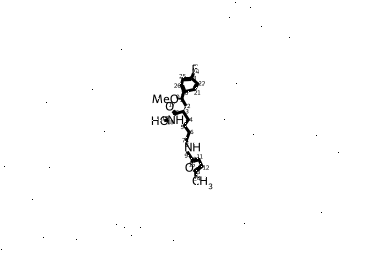 CO[C@H](C[C@H](CCCCNCc1ccc(C)o1)C(=O)NO)c1ccc(F)cc1